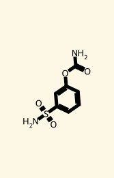 NC(=O)Oc1cccc(S(N)(=O)=O)c1